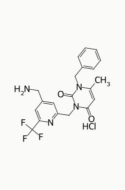 Cc1cc(=O)n(Cc2cc(CN)cc(C(F)(F)F)n2)c(=O)n1Cc1ccccc1.Cl